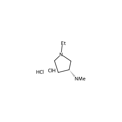 CCN1CC[C@@H](NC)C1.Cl.Cl